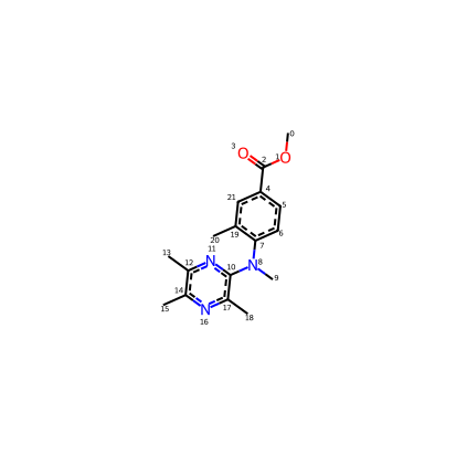 COC(=O)c1ccc(N(C)c2nc(C)c(C)nc2C)c(C)c1